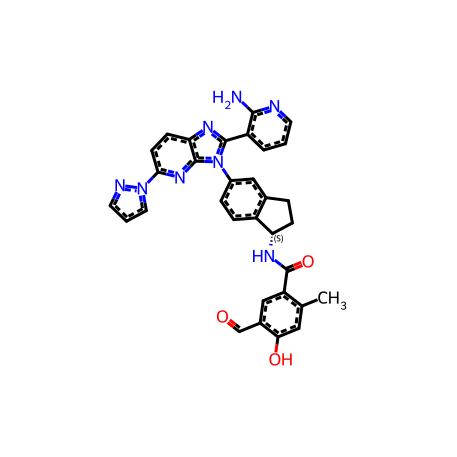 Cc1cc(O)c(C=O)cc1C(=O)N[C@H]1CCc2cc(-n3c(-c4cccnc4N)nc4ccc(-n5cccn5)nc43)ccc21